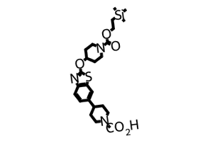 C[Si](C)(C)CCOC(=O)N1CCC(Oc2nc3ccc(C4CCN(C(=O)O)CC4)cc3s2)CC1